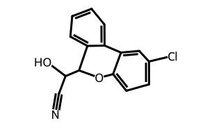 N#CC(O)C1Oc2ccc(Cl)cc2-c2ccccc21